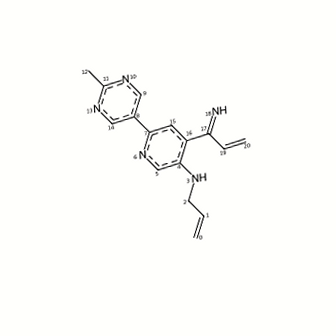 C=CCNc1cnc(-c2cnc(C)nc2)cc1C(=N)C=C